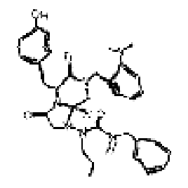 CCCN(C(=O)NCc1ccccc1)N1CC(=O)N2[C@@H](Cc3ccc(O)cc3)C(=O)N(Cc3ccccc3N(C)C)C[C@@H]21